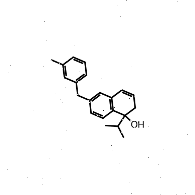 Cc1cccc(Cc2ccc3c(c2)C=CCC3(O)C(C)C)c1